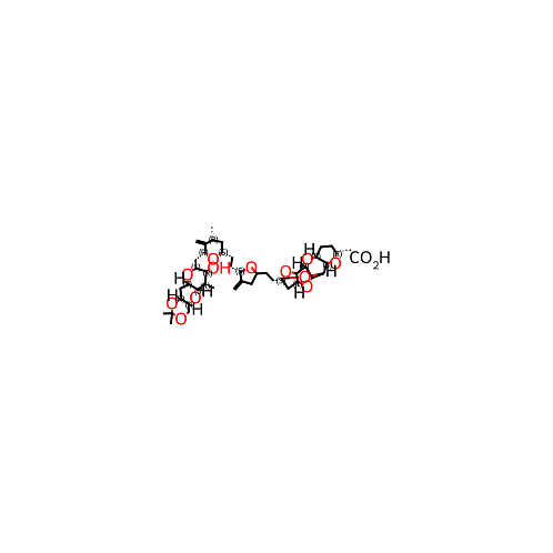 C=C1CC(CC[C@@]23C[C@H]4OC5C(O2)[C@H]2O[C@@H](CC(=O)O)CC[C@@H]2O[C@H]5C4O3)O[C@H]1CC[C@H]1C[C@@H](C)C(=C)[C@@H](C[C@@H]2O[C@H]3C[C@H]4OC(C)(C)OC[C@H]4O[C@H]3[C@H](C)[C@H]2O)O1